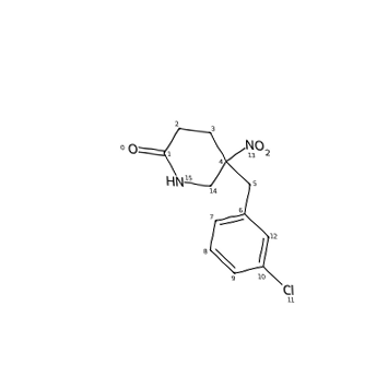 O=C1CCC(Cc2cccc(Cl)c2)([N+](=O)[O-])CN1